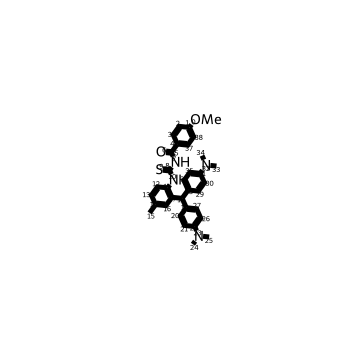 COc1ccc(C(=O)NC(=S)Nc2ccc(C)cc2C(c2ccc(N(C)C)cc2)c2ccc(N(C)C)cc2)cc1